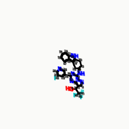 OC(c1cnn2c(N[C@@H]3CCc4[nH]c5ccccc5c4C3)nc(-c3cncc(F)c3)nc12)C(F)(F)F